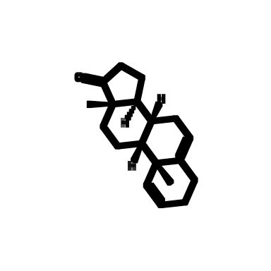 C[C@]12C=CCCC1=CC[C@@H]1[C@H]2CC[C@]2(C)C(=O)CC[C@@H]12